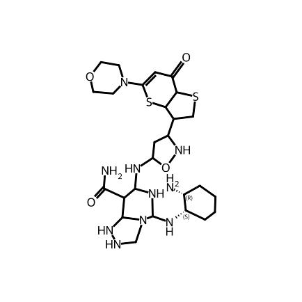 NC(=O)C1C(NC2CC(C3CSC4C(=O)C=C(N5CCOCC5)SC43)NO2)NC(N[C@H]2CCCC[C@H]2N)N2CNNC12